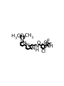 C[C@@H]1CN(c2cccc(-c3ccc4cnc(CNC(=O)c5cc(Cl)cc([S@@](=N)(=O)C(F)F)c5)cc4n3)n2)C[C@H](C)O1